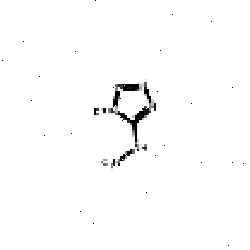 O=[N+]([O-])Nc1nnn[nH]1.[K+]